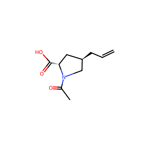 C=CC[C@@H]1C[C@@H](C(=O)O)N(C(C)=O)C1